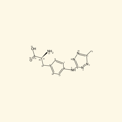 Cc1nnc(Nc2ccc(C[C@H](N)C(=O)O)cc2)nn1